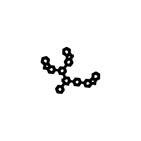 c1ccc(-c2nc(-c3ccc(-c4ccc5sc6ccccc6c5c4)cc3)cc(-c3cc(-c4ccc5oc6ccccc6c5c4)cc(-c4ccc5oc6ccccc6c5c4)c3)n2)cc1